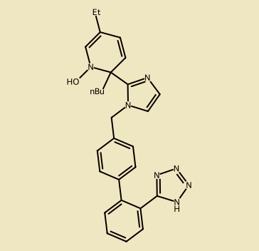 CCCCC1(c2nccn2Cc2ccc(-c3ccccc3-c3nnn[nH]3)cc2)C=CC(CC)=CN1O